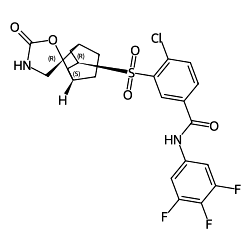 O=C1NC[C@@]2(O1)C1CC[C@H]2C[C@H](S(=O)(=O)c2cc(C(=O)Nc3cc(F)c(F)c(F)c3)ccc2Cl)C1